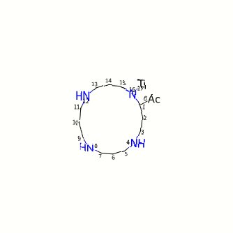 CC(=O)C1CCNCCCNCCCNCCC[N]1[Ti]